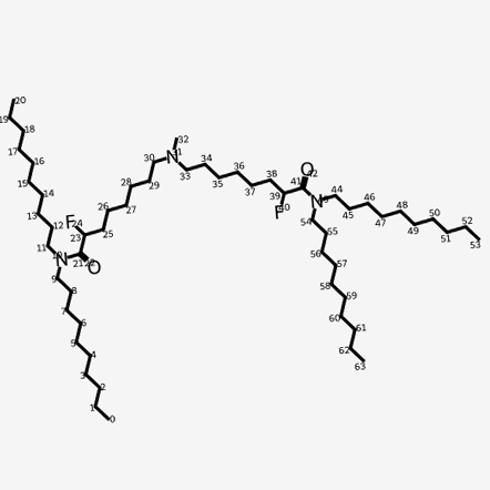 CCCCCCCCCCN(CCCCCCCCCC)C(=O)C(F)CCCCCCN(C)CCCCCCC(F)C(=O)N(CCCCCCCCCC)CCCCCCCCCC